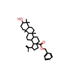 C=C(C)C1CCC2(C(=O)OCc3ccccc3)CCC3C(CCC4C3(C)CCC3C(C)(C)C(O)CCC34C)C12